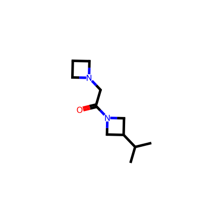 CC(C)C1CN(C(=O)CN2CCC2)C1